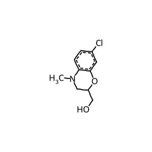 CN1CC(CO)Oc2cc(Cl)ccc21